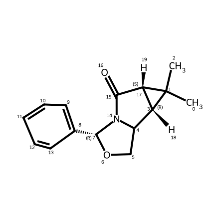 CC1(C)[C@@H]2C3CO[C@H](c4ccccc4)N3C(=O)[C@@H]21